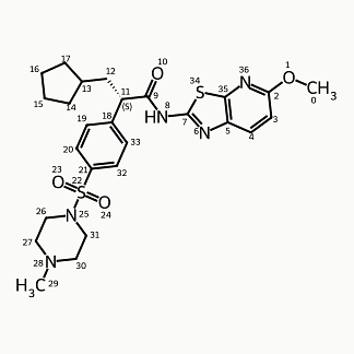 COc1ccc2nc(NC(=O)[C@@H](CC3CCCC3)c3ccc(S(=O)(=O)N4CCN(C)CC4)cc3)sc2n1